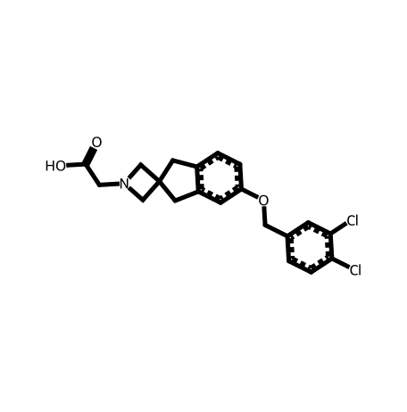 O=C(O)CN1CC2(Cc3ccc(OCc4ccc(Cl)c(Cl)c4)cc3C2)C1